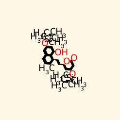 C[C@H]1C=CC2=C[C@@H](O[Si](C)(C)C(C)(C)C)C[C@H](O)C2[C@H]1CC[C@@H]1C[C@@H](O[Si](C)(C)C(C)(C)C)CC(=O)O1